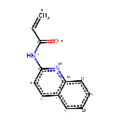 C=CC(=O)Nc1ccc2ccccc2n1